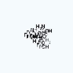 CC(C)[C@H](NC(=O)[C@@H](N)CCN)C(=O)N[C@@H](CCN)C(=O)O.O=C(O)C(F)(F)F.O=C(O)C(F)(F)F